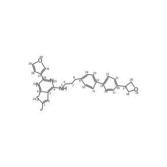 Cc1cc2c(NCCCc3ccc(-c4ccc(C5COC5)cc4)cc3)nc(-c3ccoc3)nc2s1